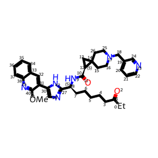 CCC(=O)CCCCC[C@H](NC(=O)[C@H]1CC12CCN(Cc1cccnc1)CC2)c1ncc(-c2cc3ccccc3nc2OC)[nH]1